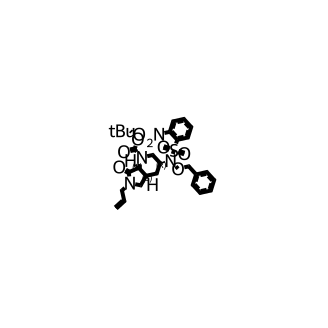 C=CCN1C[C@@H]2C[C@@H](N(OCc3ccccc3)S(=O)(=O)c3ccccc3[N+](=O)[O-])CN(C(=O)OC(C)(C)C)[C@@H]2C1=O